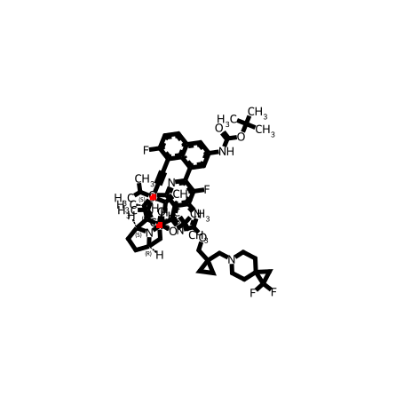 CC(C)[Si](C#Cc1c(F)ccc2cc(NC(=O)OC(C)(C)C)cc(-c3nc4c5c(nc(OCC6(CN7CCC8(CC7)CC8(F)F)CC6)nc5c3F)N3C[C@H]5CC[C@@H]([C@H]3[C@H](C)O4)N5C(=O)OC(C)(C)C)c12)(C(C)C)C(C)C